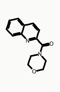 O=C(c1ccc2ccccc2n1)N1CCOCC1